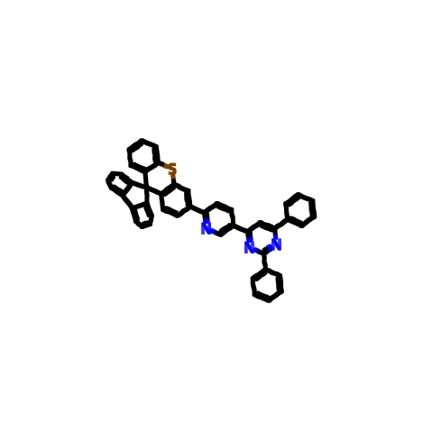 c1ccc(-c2cc(-c3ccc(-c4ccc5c(c4)Sc4ccccc4C54c5ccccc5-c5ccccc54)nc3)nc(-c3ccccc3)n2)cc1